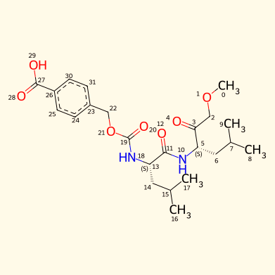 COCC(=O)[C@H](CC(C)C)NC(=O)[C@H](CC(C)C)NC(=O)OCc1ccc(C(=O)O)cc1